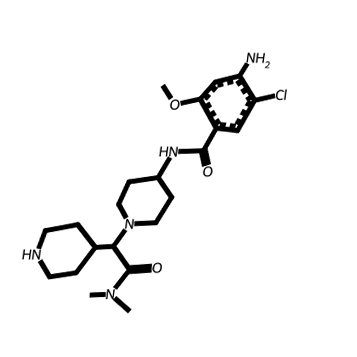 COc1cc(N)c(Cl)cc1C(=O)NC1CCN(C(C(=O)N(C)C)C2CCNCC2)CC1